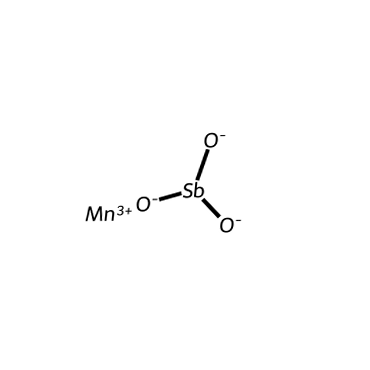 [Mn+3].[O-][Sb]([O-])[O-]